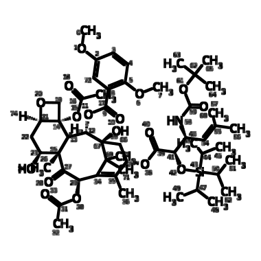 COc1ccc(OC)c(C(=O)O[C@H]2[C@@H]3[C@]4(OC(C)=O)CO[C@@H]4C[C@H](O)[C@@]3(C)C(=O)[C@H](OC(C)=O)C3=C(C)[C@@H](OC(=O)[C@H](O[Si](C(C)C)(C(C)C)C(C)C)[C@H](C=C(C)C)NC(=O)OC(C)(C)C)C[C@]2(O)C3(C)C)c1